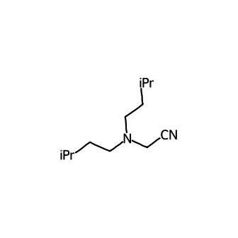 CC(C)CCN(CC#N)CCC(C)C